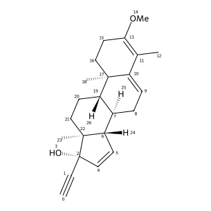 C#C[C@]1(O)C=C[C@H]2[C@@H]3CC=C4C(C)=C(OC)CC[C@]4(C)[C@H]3CC[C@@]21C